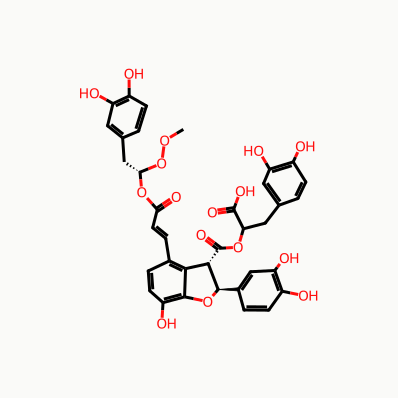 COO[C@@H](Cc1ccc(O)c(O)c1)OC(=O)/C=C/c1ccc(O)c2c1[C@H](C(=O)OC(Cc1ccc(O)c(O)c1)C(=O)O)[C@@H](c1ccc(O)c(O)c1)O2